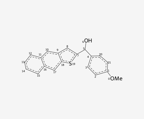 COc1ccc(C(O)c2cc3cc4ccccc4cc3s2)cc1